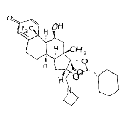 C[C@]12C=CC(=O)C=C1CC[C@@H]1[C@@H]2[C@@H](O)C[C@@]2(C)[C@H]1C[C@H]1O[C@@H](C3CCCCC3)O[C@]12C(=O)CN1CCC1